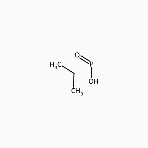 CCC.O=PO